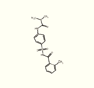 Cc1ccccc1C(=O)NS(=O)(=O)c1ccc(NC(=O)N(C)C)cc1